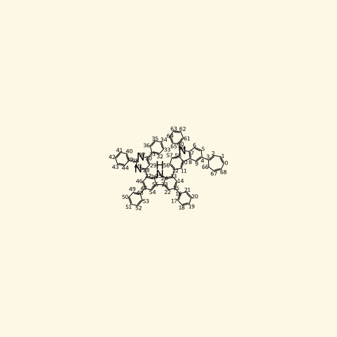 C1=CC=C(c2ccc3c(c2)c2cc(-c4cc(-c5ccccc5)cc5c4[nH]c4c(-c6cc(-c7ccccc7)nc(-c7ccccc7)n6)cc(-c6ccccc6)cc45)ccc2n3-c2ccccc2)CC=C1